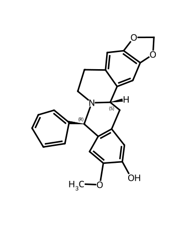 COc1cc2c(cc1O)C[C@H]1c3cc4c(cc3CCN1[C@@H]2c1ccccc1)OCO4